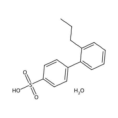 CCCc1ccccc1-c1ccc(S(=O)(=O)O)cc1.O